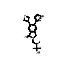 CC(C)(O)[C@H](F)CN1Cc2cc(-c3cc[nH]n3)c(C3COC3)cc2C1=O